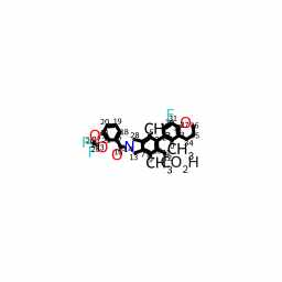 Cc1c(-c2c(C)c3c(c(C)c2CC(=O)O)CN(C(=O)c2cccc4c2OC(F)(F)O4)C3)cc(F)c2c1CCCO2